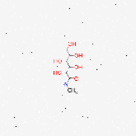 C[N]C(=O)C(O)C(O)C(O)C(O)CO